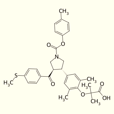 CSc1ccc(C(=O)[C@H]2CN(C(=O)Oc3ccc(C)cc3)C[C@@H]2c2cc(C)c(OC(C)(C)C(=O)O)c(C)c2)cc1